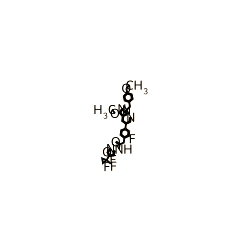 COc1ccc(Cn2nc(OC)c3cc(-c4ccc(CC(=O)Nc5cc(C6(C(F)(F)F)CC6)on5)c(F)c4)cnc32)cc1